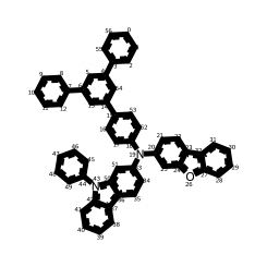 c1ccc(-c2cc(-c3ccccc3)cc(-c3ccc(N(c4ccc5c(c4)oc4ccccc45)c4ccc5c6ccccc6n(-c6ccccc6)c5c4)cc3)c2)cc1